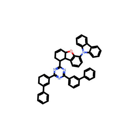 C1=CC2Oc3c(cccc3-n3c4ccccc4c4ccccc43)C2C(c2nc(C3=CCCC(c4ccccc4)=C3)nc(-c3cccc(-c4ccccc4)c3)n2)C1